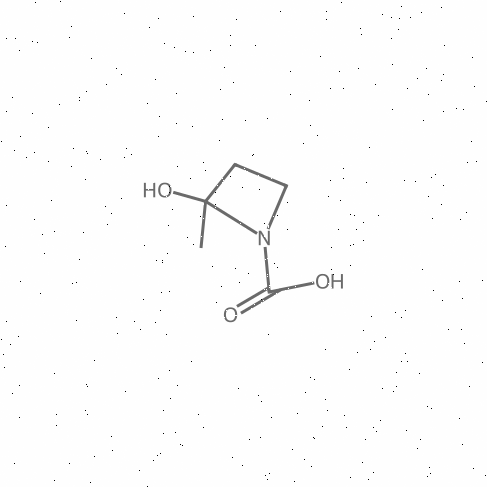 CC1(O)CCN1C(=O)O